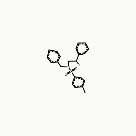 Cc1ccc(S(=O)(=O)N(Cc2ccccc2)CC(F)c2ccccc2)cc1